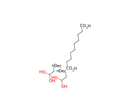 CCCCCCCCCCCC(O)O.CCCCCCCCCCCC(O)O.O=C(O)CCCCCCCCC(=O)O